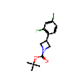 CC(C)(C)OC(=O)N1CC(c2ccc(F)cc2F)C1